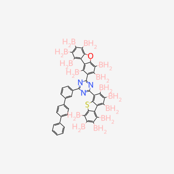 Bc1c(B)c(B)c2c(oc3c(B)c(B)c(-c4nc(-c5cccc(-c6ccc(-c7ccccc7)cc6)c5)nc(-c5c(B)c(B)c(B)c6c5sc5c(B)c(B)c(B)c(B)c56)n4)c(B)c32)c1B